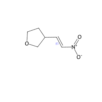 O=[N+]([O-])/C=C/C1CCOC1